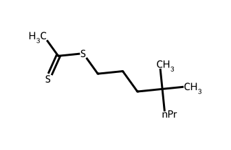 CCCC(C)(C)CCCSC(C)=S